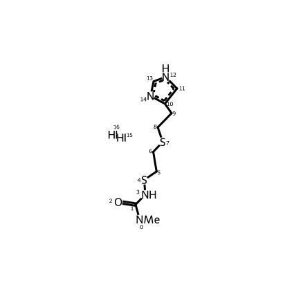 CNC(=O)NSCCSCCc1c[nH]cn1.I.I